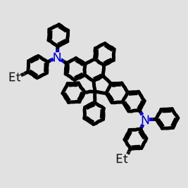 CCc1ccc(N(c2ccccc2)c2ccc3cc4c(cc3c2)C(c2ccccc2)(c2ccccc2)c2c-4c3ccccc3c3cc(N(c4ccccc4)c4ccc(CC)cc4)ccc23)cc1